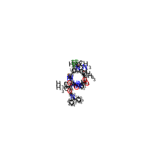 CC(C)c1ncccc1-c1c2c3cc(ccc3n1CC(F)(F)F)-c1nc(ns1)C[C@H](NC(=O)[C@@H](COC1CN(C(c3ccccc3)c3ccccc3)C1)C(C)C)C(=O)N1CCC[C@H](N1)C(=O)OCC(C)(C)C2